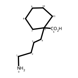 NCCCCC1(C(=O)O)CCCCC1